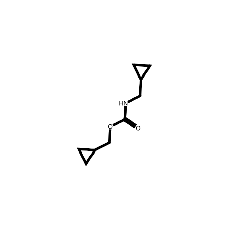 O=C(NCC1CC1)OCC1CC1